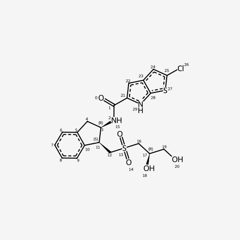 O=C(N[C@@H]1Cc2ccccc2[C@@H]1CS(=O)(=O)C[C@H](O)CO)c1cc2cc(Cl)sc2[nH]1